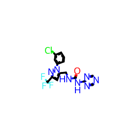 O=C(NCc1cc(C(F)(F)F)nn1-c1cccc(Cl)c1)Nc1ncncn1